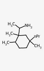 CCCC1(C)CCC(C)C(C)(C(C)N)C1